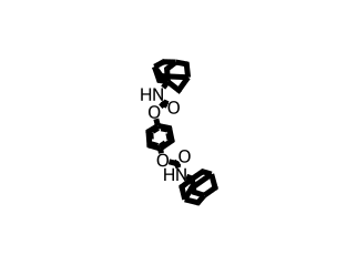 O=C(NC12CC3CC(CC(C3)C1)C2)Oc1ccc(OC(=O)NC23CC4CC(CC(C4)C2)C3)cc1